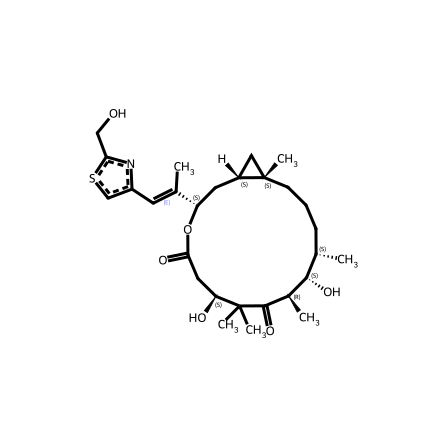 C/C(=C\c1csc(CO)n1)[C@@H]1C[C@@H]2C[C@]2(C)CCC[C@H](C)[C@H](O)[C@@H](C)C(=O)C(C)(C)[C@@H](O)CC(=O)O1